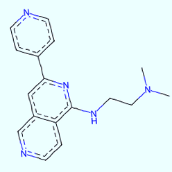 CN(C)CCNc1nc(-c2ccncc2)cc2cnccc12